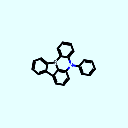 c1ccc(N2c3ccccc3B3c4ccccc4-c4cccc2c43)cc1